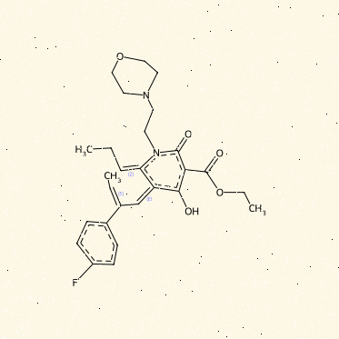 C\C=C(/C=c1/c(O)c(C(=O)OCC)c(=O)n(CCN2CCOCC2)/c1=C\CC)c1ccc(F)cc1